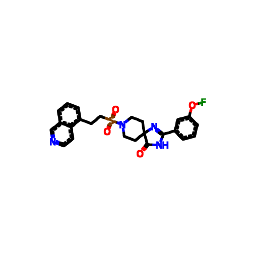 O=C1NC(c2cccc(OF)c2)=NC12CCN(S(=O)(=O)CCc1cccc3cnccc13)CC2